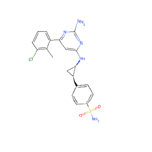 Cc1c(Cl)cccc1-c1cc(N[C@@H]2C[C@@H]2c2ccc(S(N)(=O)=O)cc2)nc(N)n1